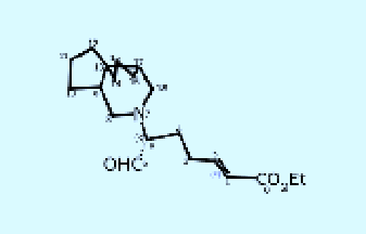 CCOC(=O)/C=C/CC[C@H](C=O)N1CC2CCCC23CCCC3C1